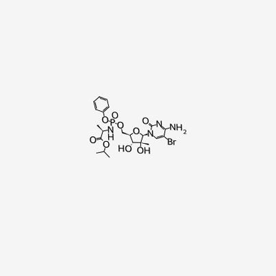 CC(C)OC(=O)[C@@H](C)NP(=O)(OC[C@H]1O[C@@H](n2cc(Br)c(N)nc2=O)[C@](C)(O)[C@@H]1O)Oc1ccccc1